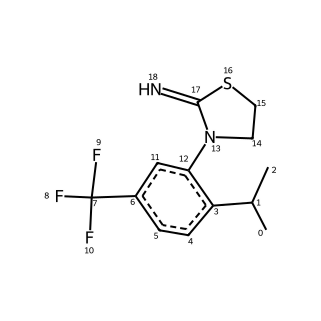 CC(C)c1ccc(C(F)(F)F)cc1N1CCSC1=N